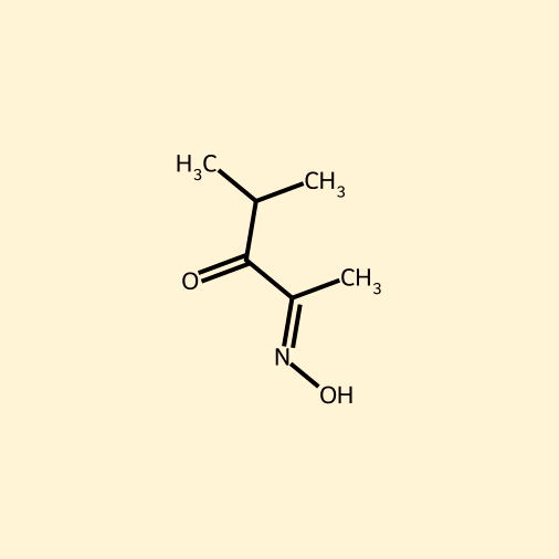 C/C(=N\O)C(=O)C(C)C